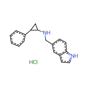 Cl.c1ccc(C2CC2NCc2ccc3[nH]ccc3c2)cc1